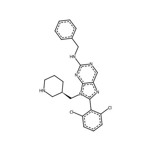 Clc1cccc(Cl)c1-c1nc2cnc(NCc3ccccc3)nc2n1C[C@@H]1CCCNC1